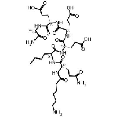 CCCC[C@H](NC(=O)[C@H](CCC(N)=O)NC(=O)CCCCCN)C(=O)N[C@@H](CCC(=O)O)C(=O)N[C@@H](CCC(=O)O)C(=O)N[C@@H](CCC(=O)O)C(=O)N[C@@H](C)C(N)=O